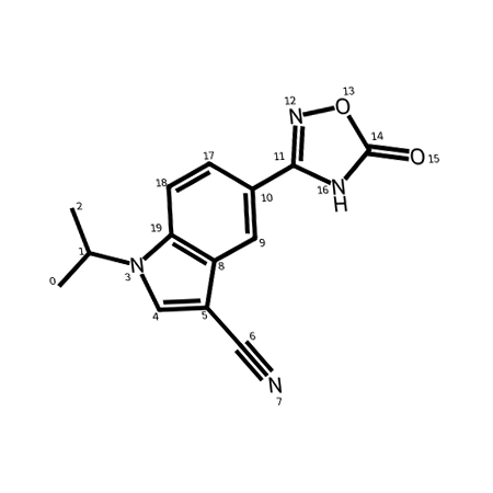 CC(C)n1cc(C#N)c2cc(-c3noc(=O)[nH]3)ccc21